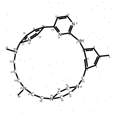 Cc1cc2cc(c1)Nc1nccc(n1)-c1ccc(nc1)N(C)CCCN(C)CCN1CCN(CC1)C2